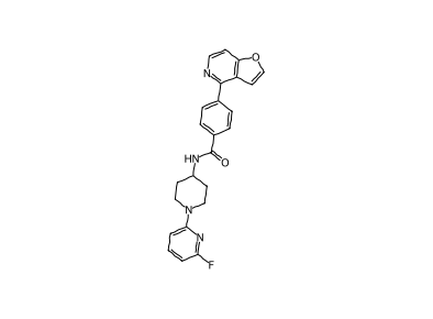 O=C(NC1CCN(c2cccc(F)n2)CC1)c1ccc(-c2nccc3occc23)cc1